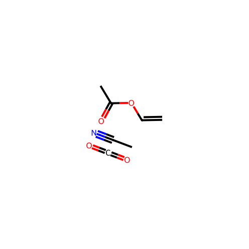 C=COC(C)=O.CC#N.O=C=O